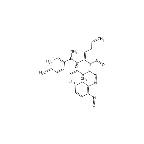 C=C/C=C\C(=C/C)N(N)C(=O)C(=C/CC=C)/C(N=O)=C(/N=N\C1=C(N=O)C=CCC1)C(=C)/C=C\C